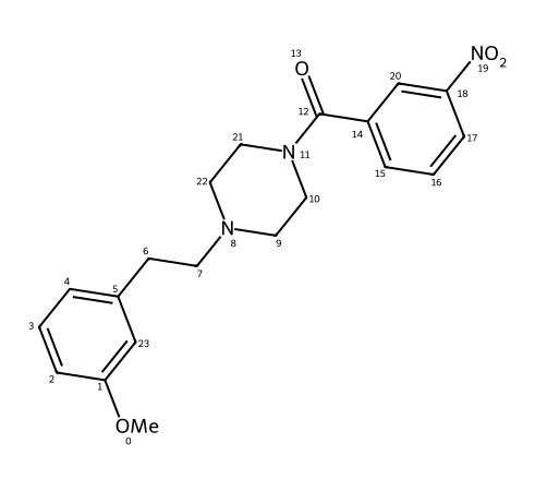 COc1cccc(CCN2CCN(C(=O)c3cccc([N+](=O)[O-])c3)CC2)c1